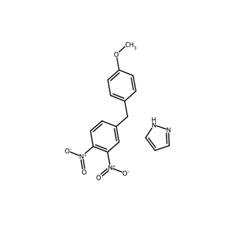 COc1ccc(Cc2ccc([N+](=O)[O-])c([N+](=O)[O-])c2)cc1.c1cn[nH]c1